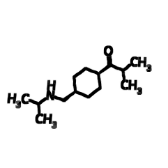 CC(C)NC[C@H]1CC[C@@H](C(=O)C(C)C)CC1